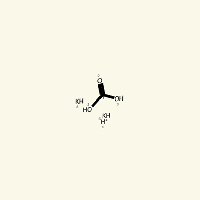 O=C(O)O.[H+].[KH].[KH]